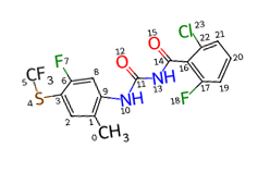 Cc1cc(SC(F)(F)F)c(F)cc1NC(=O)NC(=O)c1c(F)cccc1Cl